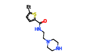 CCc1ccc(C(=O)NCCN2CCNCC2)s1